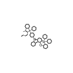 C=C/C=C\C1=C(C)c2ccccc2C1(c1ccccc1)c1ccc(-n2c3ccccc3c3c4c(ccc32)[Si](c2ccccc2)(c2ccccc2)c2ccccc2O4)cc1